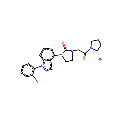 N#C[C@H]1CCCN1C(=O)CN1CCN(c2cccc3c2cnn3-c2ccccc2F)C1=O